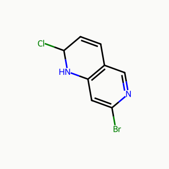 ClC1C=Cc2cnc(Br)cc2N1